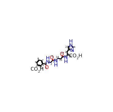 O=C(CNC(=O)c1ccccc1C(=O)O)NCCC(=O)N[C@@H](Cc1c[nH]cn1)C(=O)O